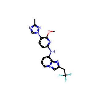 COc1nc(Nc2cccn3cc(CC(F)(F)F)nc23)ccc1-n1cnc(C)n1